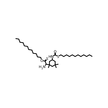 CCCCCCCCCCCCOC(=S)C(N)C1(C)CC(NC(=O)SCCCCCCCCCCCC)CC(C)(C)C1